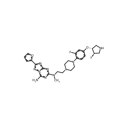 CN(CCN1CCN(c2ccc(O[C@@H]3CNC[C@H]3F)cc2F)CC1)c1nc(N)n2nc(-c3ccco3)nc2n1